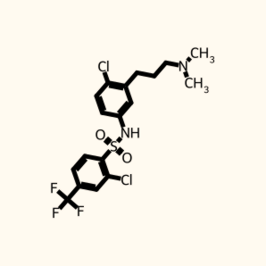 CN(C)CCCc1cc(NS(=O)(=O)c2ccc(C(F)(F)F)cc2Cl)ccc1Cl